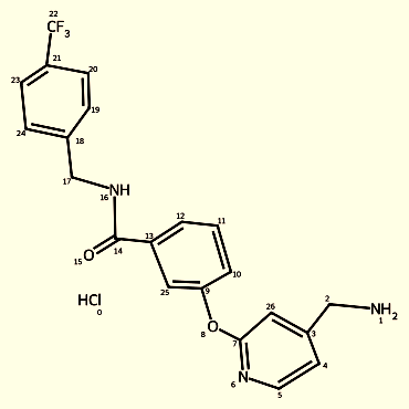 Cl.NCc1ccnc(Oc2cccc(C(=O)NCc3ccc(C(F)(F)F)cc3)c2)c1